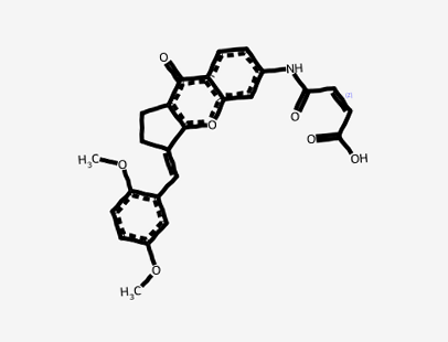 COc1ccc(OC)c(C=C2CCc3c2oc2cc(NC(=O)/C=C\C(=O)O)ccc2c3=O)c1